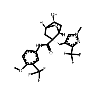 COc1ccc(NC(=O)[C@@]2(Cc3cn(C)nc3C(F)(F)F)C[C@H]3O[C@@H]2C[C@@H]3O)cc1C(F)(F)F